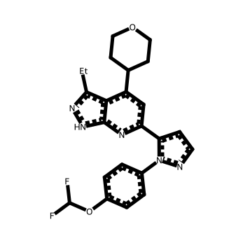 CCc1n[nH]c2nc(-c3ccnn3-c3ccc(OC(F)F)cc3)cc(C3CCOCC3)c12